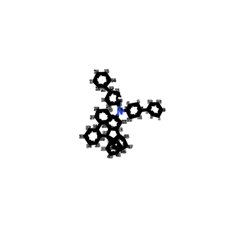 c1ccc(-c2ccc(N(c3ccc(-c4ccccc4)cc3)c3cc4c5c6c(cccc36)-c3ccccc3C5(c3ccccc3)c3ccccc3-4)cc2)cc1